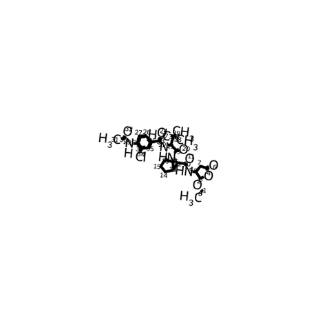 CCO[C@@H]1OC(=O)CC1NC(=O)C1C2CCC(C2)N1C(=O)C(NC(=O)c1ccc(NC(C)=O)c(Cl)c1)C(C)(C)C